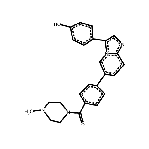 CN1CCN(C(=O)c2ccc(-c3ccc4ncc(-c5ccc(O)cc5)n4c3)cc2)CC1